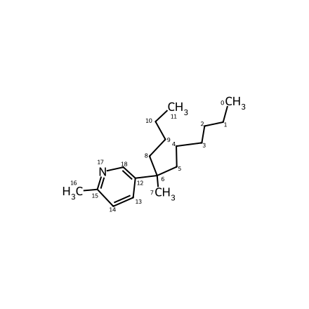 CCCCCCC(C)(CCCC)c1ccc(C)nc1